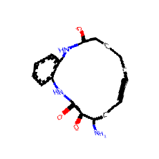 NC1CC=CCCCCC(=O)Nc2ccccc2NC(=O)C1=O